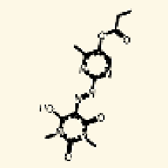 CCC(=O)Oc1cnc(N=Nc2c(O)n(C)c(=O)n(C)c2=O)nc1C